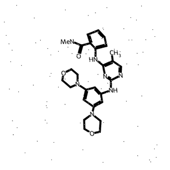 CNC(=O)c1ccccc1Nc1nc(Nc2cc(N3CCOCC3)cc(N3CCOCC3)c2)ncc1C